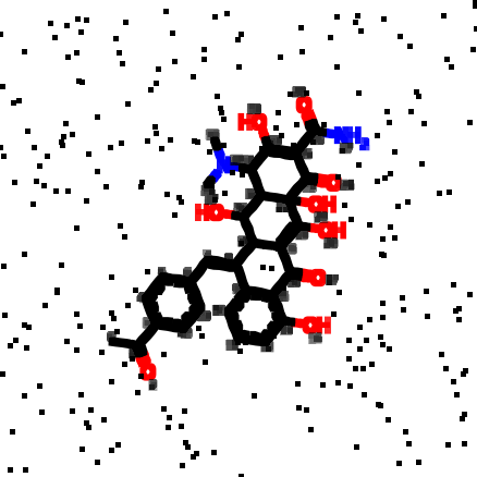 CC(=O)c1ccc(/C=C2\c3cccc(O)c3C(=O)C3=C(O)C4(O)C(=O)C(C(N)=O)=C(O)C(N(C)C)C4C(O)C32)cc1